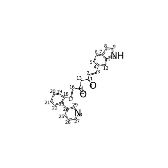 O=C(C=Cc1ccc2cc[nH]c2c1)CC(=O)C=Cc1ccccc1-c1cccnc1